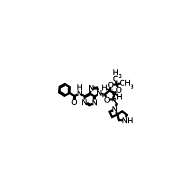 CC1(C)O[C@@H]2[C@H](O1)[C@@H](CN1CCC13CCNC3)O[C@H]2n1cnc2c(NC(=O)c3ccccc3)ncnc21